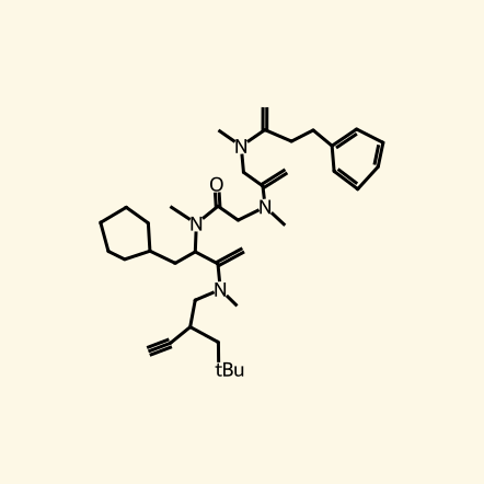 C#CC(CN(C)C(=C)C(CC1CCCCC1)N(C)C(=O)CN(C)C(=C)CN(C)C(=C)CCc1ccccc1)CC(C)(C)C